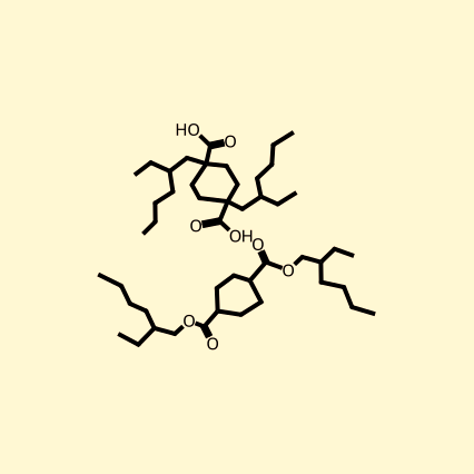 CCCCC(CC)CC1(C(=O)O)CCC(CC(CC)CCCC)(C(=O)O)CC1.CCCCC(CC)COC(=O)C1CCC(C(=O)OCC(CC)CCCC)CC1